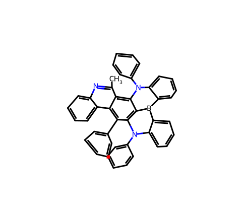 Cc1nc2ccccc2c2c(-c3ccccc3)c3c4c(c12)N(c1ccccc1)c1ccccc1B4c1ccccc1N3c1ccccc1